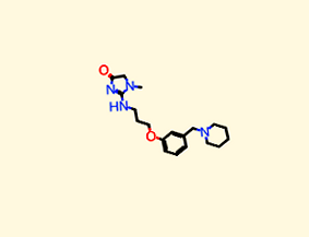 CN1CC(=O)N=C1NCCCOc1cccc(CN2CCCCC2)c1